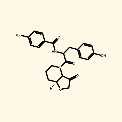 CC(C)(C)c1ccc(C(=O)NC(Cc2ccc(O)cc2)C(=O)N2CCC[C@@H]3OCC(=O)C32)cc1